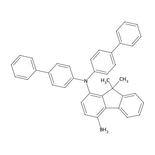 Bc1ccc(N(c2ccc(-c3ccccc3)cc2)c2ccc(-c3ccccc3)cc2)c2c1-c1ccccc1C2(C)C